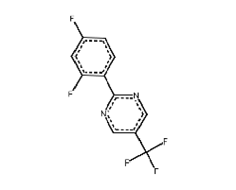 Fc1ccc(-c2ncc(C(F)(F)F)cn2)c(F)c1